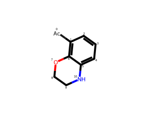 CC(=O)c1cccc2c1OCCN2